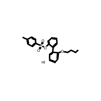 CCCCOc1ccccc1-c1ccccc1OS(=O)(=O)c1ccc(C)cc1.I